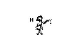 CN(C)CCN(C1N=C(N(C)C)SS1)N1CCCC1.I